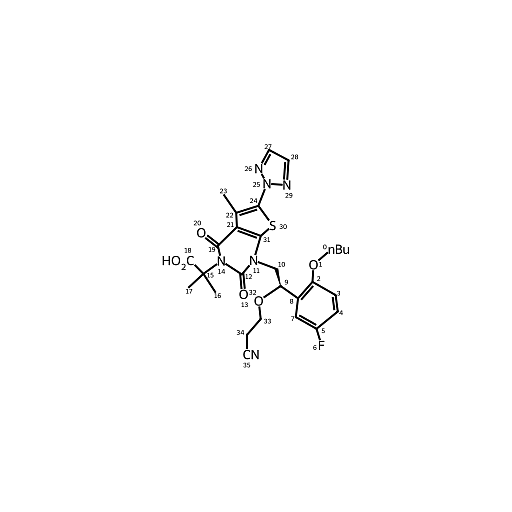 CCCCOc1ccc(F)cc1[C@H](Cn1c(=O)n(C(C)(C)C(=O)O)c(=O)c2c(C)c(-n3nccn3)sc21)OCCC#N